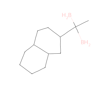 BC(B)(C)C1CCC2CCCCC2C1